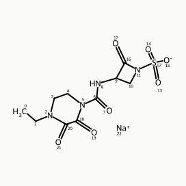 CCN1CCN(C(=O)NC2CN(S(=O)(=O)[O-])C2=O)C(=O)C1=O.[Na+]